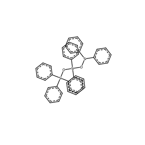 c1ccc([Si](O[Si](O[Si](c2ccccc2)(c2ccccc2)c2ccccc2)(c2ccccc2)c2ccccc2)c2ccccc2)cc1